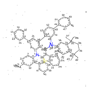 CC(C)(C)c1ccc(N2c3cc(-c4ccccc4)cc4c3B(c3c2sc2ccccc32)N(c2ccc3c(c2)C(C)(C)CCC3(C)C)c2cc(-c3ccccc3)ccc2-4)c(-c2ccccc2)c1